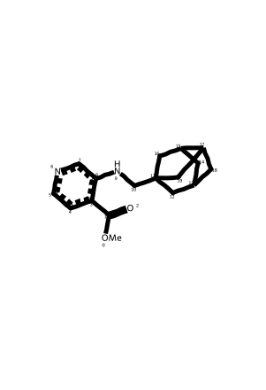 COC(=O)c1ccncc1NCC12CC3CC(C1)C(C3)C2